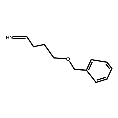 N=CCCCOCc1ccccc1